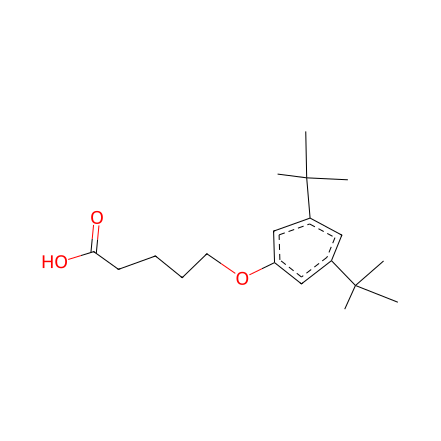 CC(C)(C)c1cc(OCCCCC(=O)O)cc(C(C)(C)C)c1